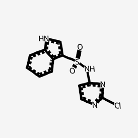 O=S(=O)(Nc1ccnc(Cl)n1)c1c[nH]c2ccccc12